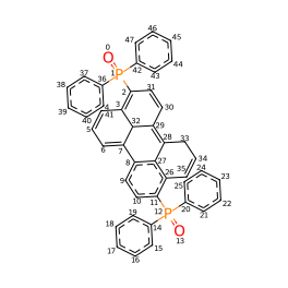 O=P(C1=C2C=CC=C3c4ccc(P(=O)(c5ccccc5)c5ccccc5)c5c4C(=C(C=C1)C32)CC=C5)(c1ccccc1)c1ccccc1